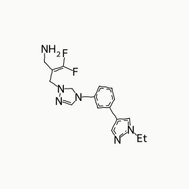 CCn1cc(-c2cccc(N3C=NN(CC(CN)=C(F)F)C3)c2)cn1